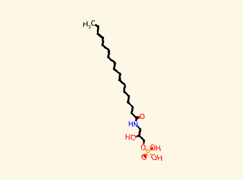 CCCCCCCCCCCCCCCCCC(=O)NCC(O)COP(=O)(O)O